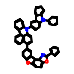 c1ccc(-c2nc3c(ccc4oc5ccc(-c6ccc(N(c7ccc8c(c7)c7ccccc7n8-c7ccccc7)c7ccccc7-c7ccccc7)cc6)cc5c43)o2)cc1